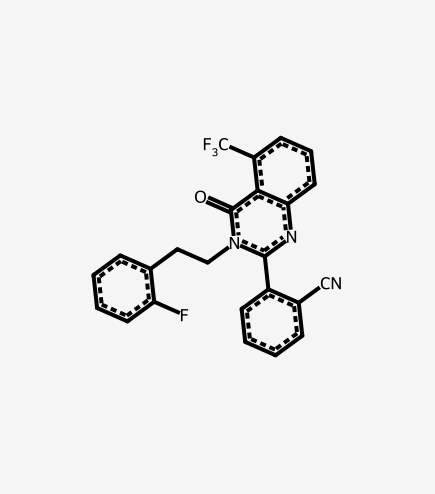 N#Cc1ccccc1-c1nc2cccc(C(F)(F)F)c2c(=O)n1CCc1ccccc1F